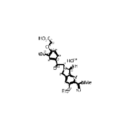 CCOc1cc2c(nc1C(=O)NC)C(=N)N(CC(=O)c1ccc(OCC(=O)O)c(C(C)(C)C)c1)C2.Cl